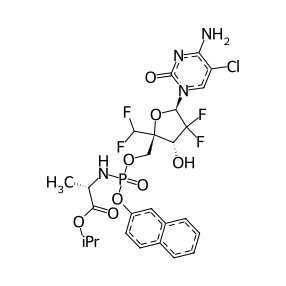 CC(C)OC(=O)[C@H](C)NP(=O)(OC[C@@]1(C(F)F)O[C@@H](n2cc(Cl)c(N)nc2=O)C(F)(F)[C@@H]1O)Oc1ccc2ccccc2c1